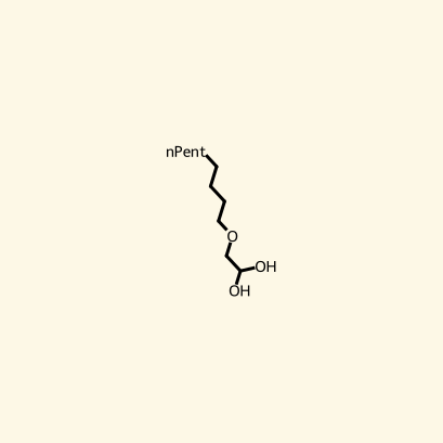 CCCCCCCCCOCC(O)O